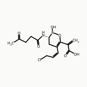 C=C(C(=O)O)C1=C(/C=C\CCl)C[C@H](NC(=O)CCC(C)=O)B(O)O1